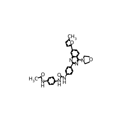 CC(=O)Nc1ccc(NC(=O)Nc2ccc(-c3nc(N4CCOCC4)c4ccc(-c5ccc(C)o5)cc4n3)cc2)cc1